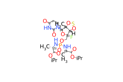 CC(C)OC(=O)[C@H](C)NP(=O)(N[C@@H](C)C(=O)OC(C)C)OC[C@@]1(F)O[C@@H](n2ccc(=O)[nH]c2=O)[C@]2(C)OSO[C@@H]21